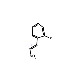 O=[N+]([O-])/C=C/c1ccccc1Br